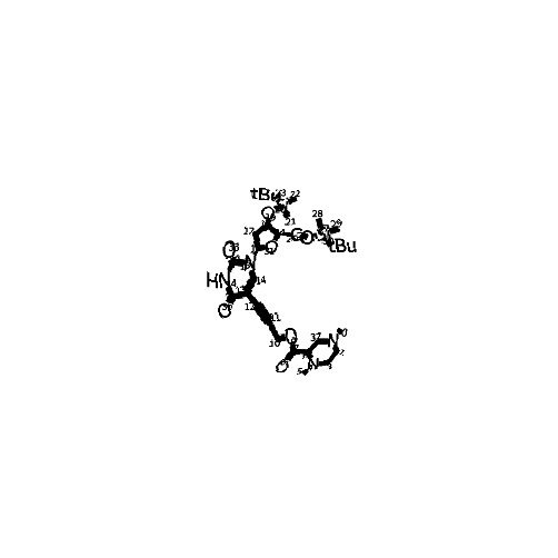 CN1CCN(C)C(C(=O)OCC#Cc2cn([C@H]3CC(O[Si](C)(C)C(C)(C)C)[C@@H](CO[Si](C)(C)C(C)(C)C)O3)c(=O)[nH]c2=O)C1